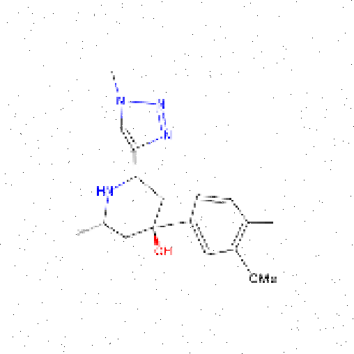 COc1cc([C@@]2(O)C[C@@H](c3cn(C)nn3)N[C@@H](C)C2)ccc1C